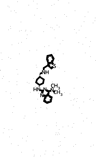 CN(C)c1nc(N[C@H]2CC[C@@H](CNCc3csc4ccccc34)CC2)nc2ccccc12